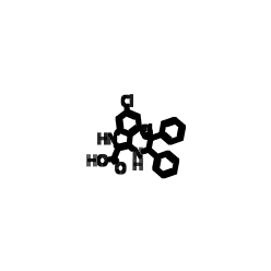 O=C(O)c1[nH]c2cc(Cl)cc(Cl)c2c1NC(C(=O)c1ccccc1)c1ccccc1